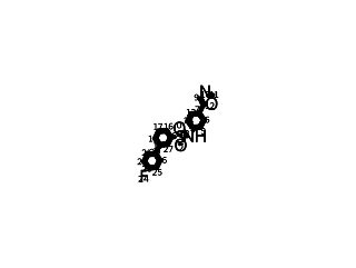 O=S(=O)(Nc1ccc(-c2cnco2)cc1)c1cccc(-c2ccc(F)cc2)c1